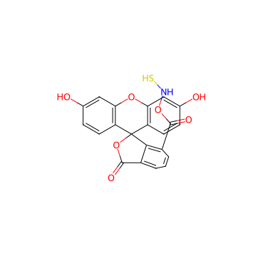 O=C(ONS)c1cccc2c1C1(OC2=O)c2ccc(O)cc2Oc2cc(O)ccc21